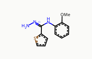 COc1ccccc1N/C(=N/N)c1cccs1